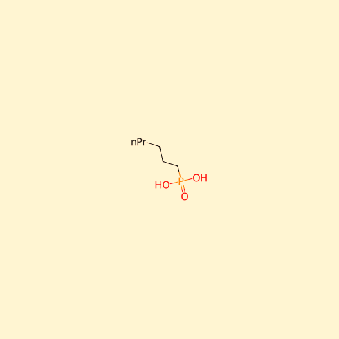 [CH2]CCCCCP(=O)(O)O